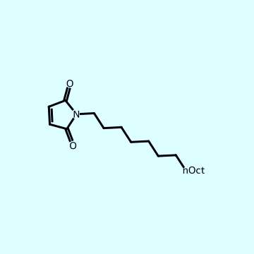 CCCCCCCCCCCCCCCN1C(=O)C=CC1=O